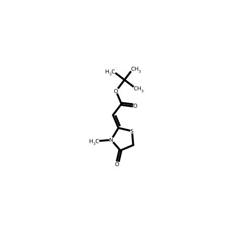 CN1C(=O)CSC1=CC(=O)OC(C)(C)C